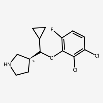 Fc1ccc(Cl)c(Cl)c1OC(C1CC1)[C@H]1CCNC1